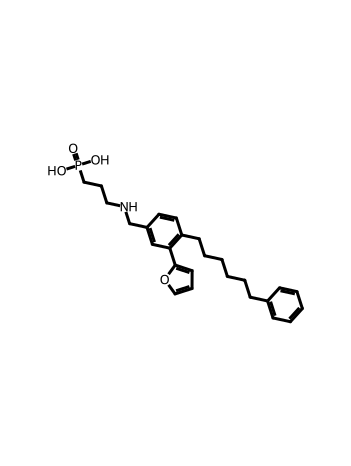 O=P(O)(O)CCCNCc1ccc(CCCCCCc2ccccc2)c(-c2ccco2)c1